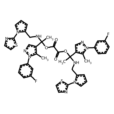 Cc1c(C(C)(NCc2cccn2-c2nccs2)OC(=O)C(=O)OC(C)(NCc2cccn2-c2nccs2)c2cnn(-c3cccc(F)c3)c2C)cnn1-c1cccc(F)c1